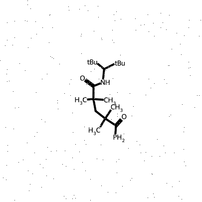 CC(C)(CC(C)(C)C(=O)NC(C(C)(C)C)C(C)(C)C)C(=O)P